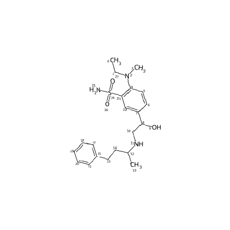 CCN(C)c1ccc(C(O)CNC(C)CCc2ccccc2)cc1S(N)(=O)=O